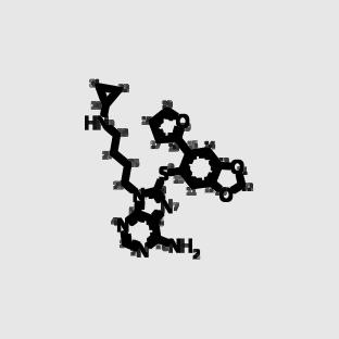 Nc1ncnc2c1nc(Sc1cc3c(cc1-c1ccco1)OCO3)n2CCCCNC1CC1